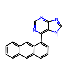 c1ccc2cc3c(-c4ncnc5nc[nH]c45)cccc3cc2c1